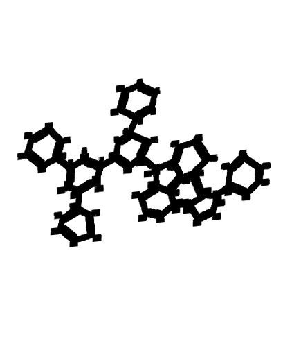 c1ccc(-c2cc(-c3nc(-c4ccccc4)nc(-c4ccccc4)n3)cc(-n3c4cccc5c6ccn(-c7ccccc7)c6c6cccc3c6c54)c2)cc1